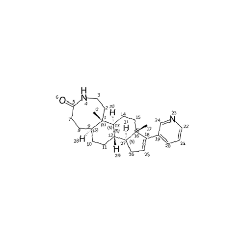 C[C@]12CCNC(=O)CC[C@@H]1CC[C@@H]1[C@@H]2CC[C@]2(C)C(c3cccnc3)=CC[C@@H]12